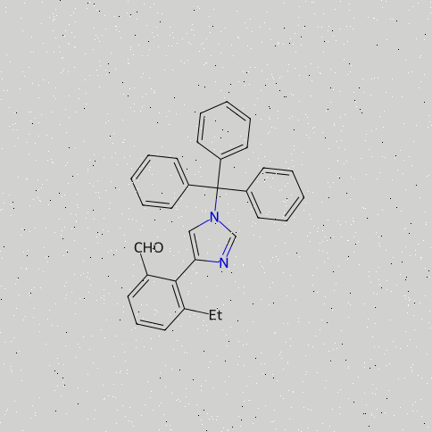 CCc1cccc(C=O)c1-c1cn(C(c2ccccc2)(c2ccccc2)c2ccccc2)cn1